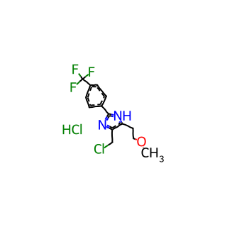 COCCc1[nH]c(-c2ccc(C(F)(F)F)cc2)nc1CCl.Cl